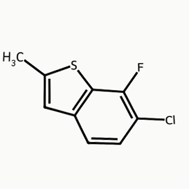 Cc1cc2ccc(Cl)c(F)c2s1